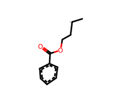 C[CH]CCOC(=O)c1ccccc1